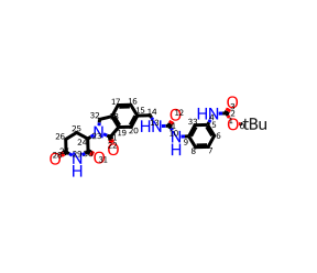 CC(C)(C)OC(=O)Nc1cccc(NC(=O)NCc2ccc3c(c2)C(=O)N(C2CCC(=O)NC2=O)C3)c1